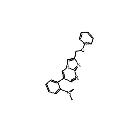 CN(C)c1ccccc1-c1cnc2nc(COc3ccccc3)cn2c1